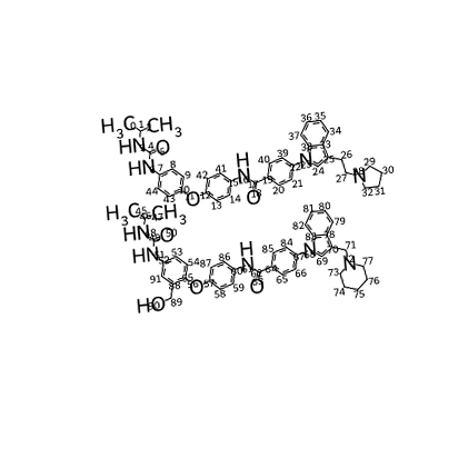 CC(C)NC(=O)Nc1ccc(Oc2ccc(NC(=O)c3ccc(-n4cc(CCN5CCCC5)c5ccccc54)cc3)cc2)cc1.CC(C)NC(=O)Nc1ccc(Oc2ccc(NC(=O)c3ccc(-n4cc(CN5CCCCC5)c5ccccc54)cc3)cc2)c(CO)c1